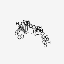 CC(C)(C)C(NC(=O)C1=Cc2cc(C(F)(F)P(=O)(O)O)ccc2C1)C(=O)N1C[C@@H](OCCCCCCC#Cc2cccc3c2CN(C2CCC(=O)NC2=O)C3=O)C[C@H]1C(=O)N1CCOC(c2cccc3ccccc23)C1